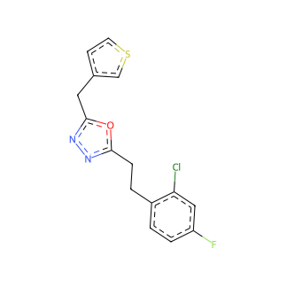 Fc1ccc(CCc2nnc(Cc3ccsc3)o2)c(Cl)c1